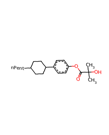 CCCCCC1CCC(c2ccc(OC(=O)C(C)(C)O)cc2)CC1